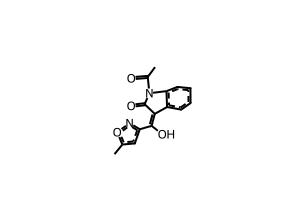 CC(=O)N1C(=O)C(=C(O)c2cc(C)on2)c2ccccc21